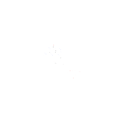 Nc1nc2c(ncn2[C@@H]2C[C@H](COP(=O)(O)OP(=O)(O)OP(=O)(O)O)C(O)[C@@H]2O)c(=O)[nH]1